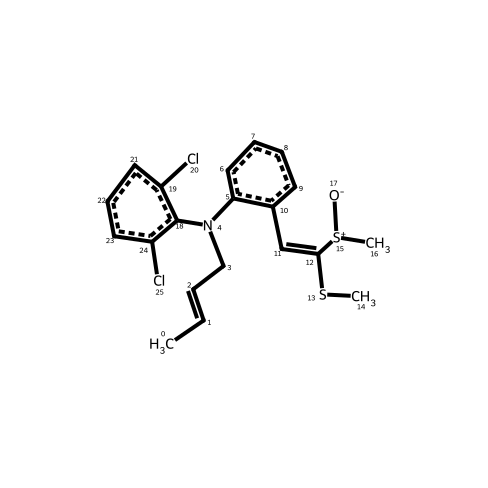 CC=CCN(c1ccccc1C=C(SC)[S+](C)[O-])c1c(Cl)cccc1Cl